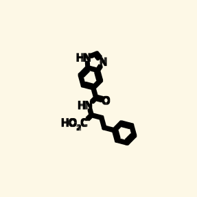 O=C(NC(CCc1ccccc1)C(=O)O)c1ccc2[nH]cnc2c1